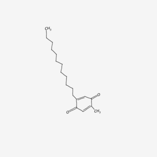 CCCCCCCCCCCCC1=CC(=O)C(C)=CC1=O